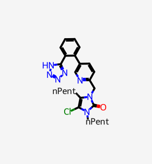 CCCCCc1c(Cl)n(CCCCC)c(=O)n1Cc1ccc(-c2ccccc2-c2nnn[nH]2)cn1